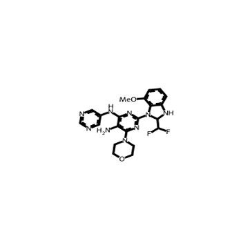 COc1cccc2c1N(c1nc(Nc3cncnc3)c(N)c(N3CCOCC3)n1)C(C(F)F)N2